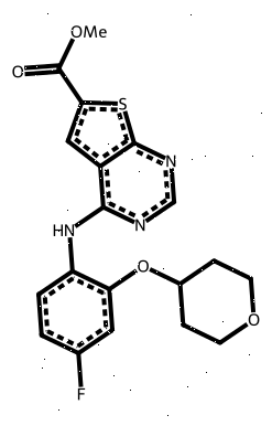 COC(=O)c1cc2c(Nc3ccc(F)cc3OC3CCOCC3)ncnc2s1